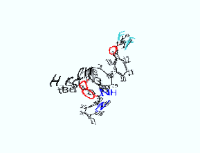 CC(C)(C)[Si](C)(C)O[C@H]1CC[C@H](c2cccc(OC(F)F)c2)C[C@@H]1NC(=O)c1ccccn1